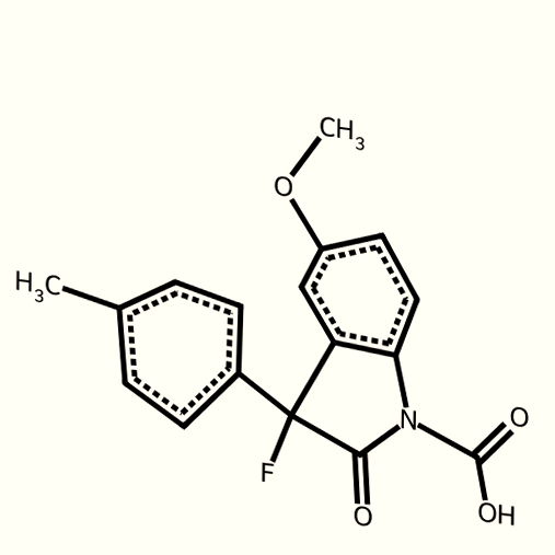 COc1ccc2c(c1)C(F)(c1ccc(C)cc1)C(=O)N2C(=O)O